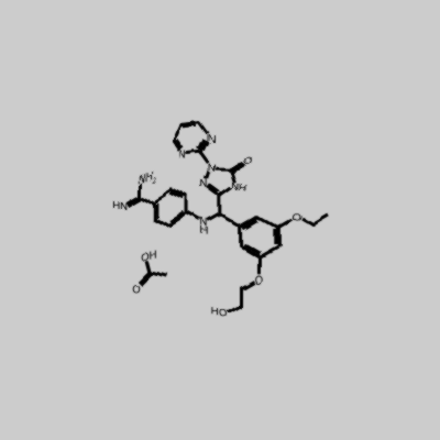 CC(=O)O.CCOc1cc(OCCO)cc(C(Nc2ccc(C(=N)N)cc2)c2nn(-c3ncccn3)c(=O)[nH]2)c1